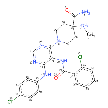 CNC1(C(N)=O)CCN(c2ncnc(Nc3ccc(Cl)cc3)c2NC(=O)c2ccccc2Cl)CC1